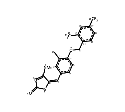 CNC1=NC(=O)SC1=Cc1ccc(OCc2ccc(C(F)(F)F)cc2C(F)(F)F)c(C)c1